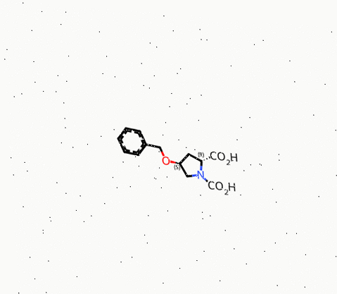 O=C(O)[C@H]1C[C@H](OCc2ccccc2)CN1C(=O)O